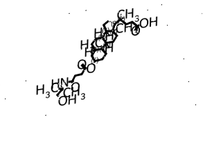 C[C@H](CCC(=O)O)[C@H]1CC[C@H]2[C@@H]3CC[C@@H]4C[C@@H](OC(=O)CCC(=O)NC(C)(C)CO)CC[C@]4(C)[C@H]3CC[C@]12C